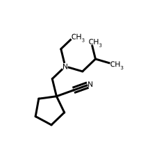 CCN(CC(C)C)CC1(C#N)CCCC1